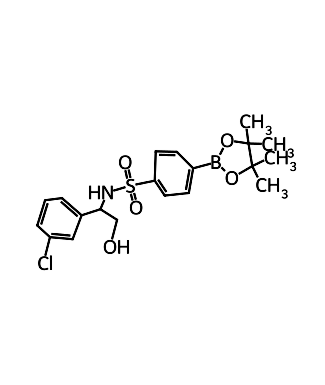 CC1(C)OB(c2ccc(S(=O)(=O)NC(CO)c3cccc(Cl)c3)cc2)OC1(C)C